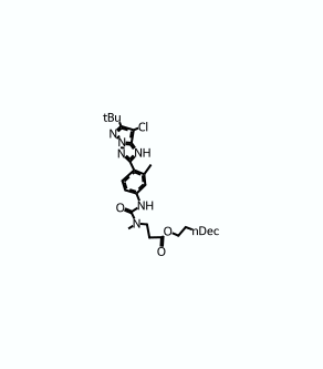 CCCCCCCCCCCCOC(=O)CCN(C)C(=O)Nc1ccc(-c2nn3nc(C(C)(C)C)c(Cl)c3[nH]2)c(C)c1